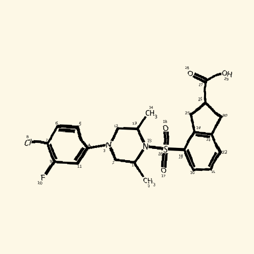 CC1CN(c2ccc(Cl)c(F)c2)CC(C)N1S(=O)(=O)c1cccc2c1CC(C(=O)O)C2